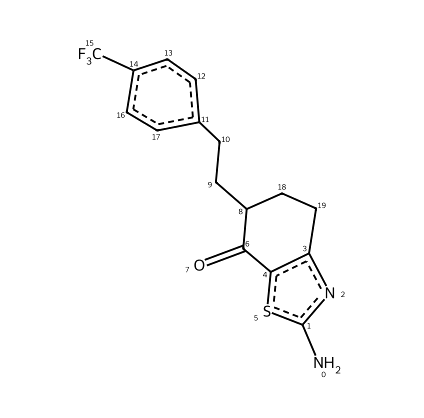 Nc1nc2c(s1)C(=O)C(CCc1ccc(C(F)(F)F)cc1)CC2